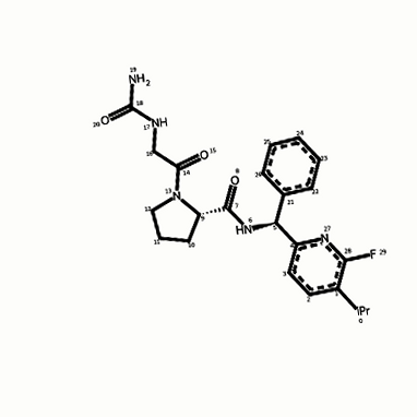 CC(C)c1ccc([C@@H](NC(=O)[C@@H]2CCCN2C(=O)CNC(N)=O)c2ccccc2)nc1F